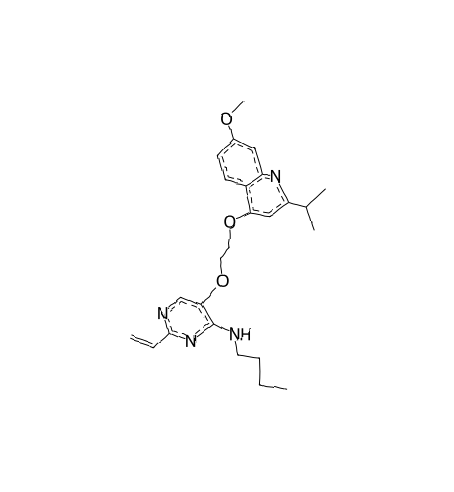 C=Cc1ncc(OCCOc2cc(C(C)C)nc3cc(OC)ccc23)c(NCCCC)n1